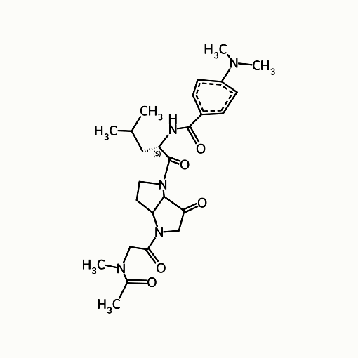 CC(=O)N(C)CC(=O)N1CC(=O)C2C1CCN2C(=O)[C@H](CC(C)C)NC(=O)c1ccc(N(C)C)cc1